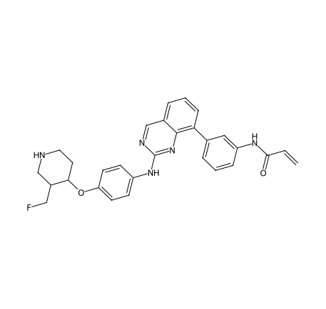 C=CC(=O)Nc1cccc(-c2cccc3cnc(Nc4ccc(OC5CCNCC5CF)cc4)nc23)c1